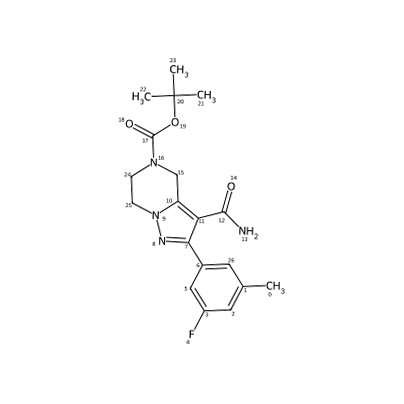 Cc1cc(F)cc(-c2nn3c(c2C(N)=O)CN(C(=O)OC(C)(C)C)CC3)c1